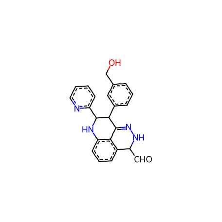 O=CC1NN=C2c3c(cccc31)NC(c1ccccn1)C2c1cccc(CO)c1